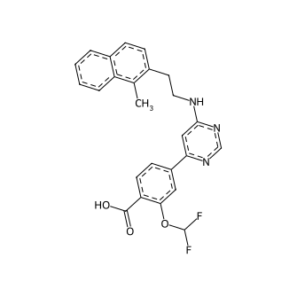 Cc1c(CCNc2cc(-c3ccc(C(=O)O)c(OC(F)F)c3)ncn2)ccc2ccccc12